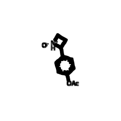 CC(=O)Oc1ccc(C2CC[NH+]2[O-])cc1